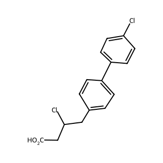 O=C(O)CC(Cl)Cc1ccc(-c2ccc(Cl)cc2)cc1